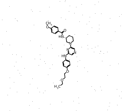 CCOCCOc1ccc(Nc2cncc(N3CCC[C@@H](NC(=O)c4ccc(OC)cc4)C3)n2)cc1